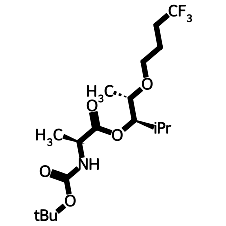 CC(C)[C@@H](OC(=O)[C@H](C)NC(=O)OC(C)(C)C)[C@H](C)OCCCC(F)(F)F